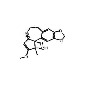 COC1=C[C@]23CCCN2CCc2cc4c(cc2[C@@H]3C1(C)O)OCO4